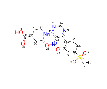 CS(=O)(=O)c1ccc(-c2ncnc(N3CCC(C(=O)O)CC3)c2[N+](=O)[O-])cc1